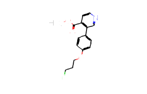 COC(=O)c1ccncc1-c1ccc(OCCCCl)cc1